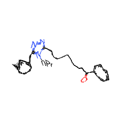 CCCn1c(CCCCCC(=O)c2ccccc2)nnc1-c1ccccc1